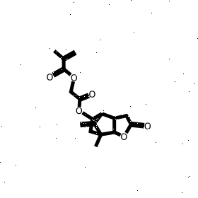 C=C(C)C(=O)OCC(=O)OC1CC2(C)C(=C)C1C1CC(=O)OC12